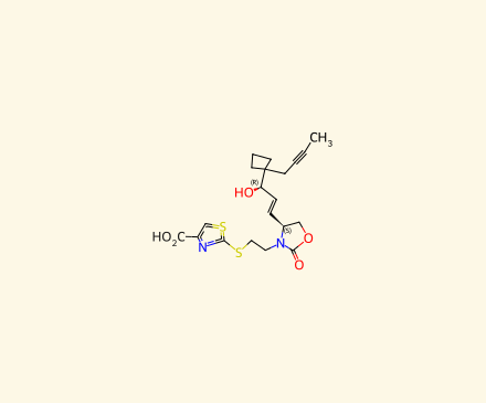 CC#CCC1([C@H](O)C=C[C@H]2COC(=O)N2CCSc2nc(C(=O)O)cs2)CCC1